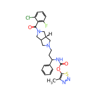 Cc1nnsc1OC(=O)NC(CCN1CC2CN(C(=O)c3c(F)cccc3Cl)C[C@@H]2C1)c1ccccc1